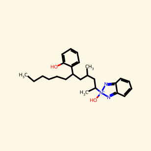 CCCCCCC(CC(C)CC(C)[N+]1(O)N=c2ccccc2=N1)c1ccccc1O